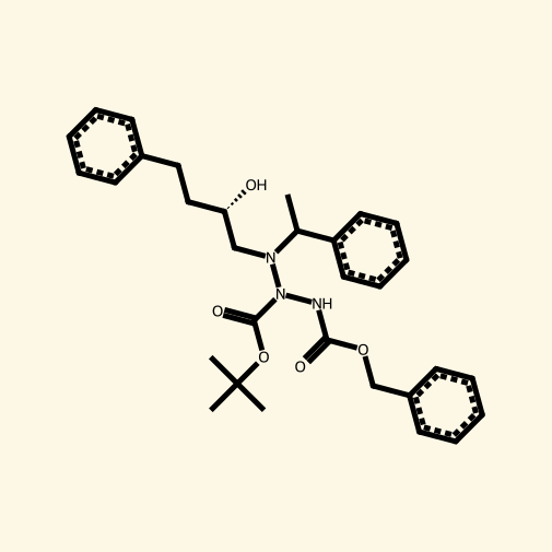 CC(c1ccccc1)N(C[C@@H](O)CCc1ccccc1)N(NC(=O)OCc1ccccc1)C(=O)OC(C)(C)C